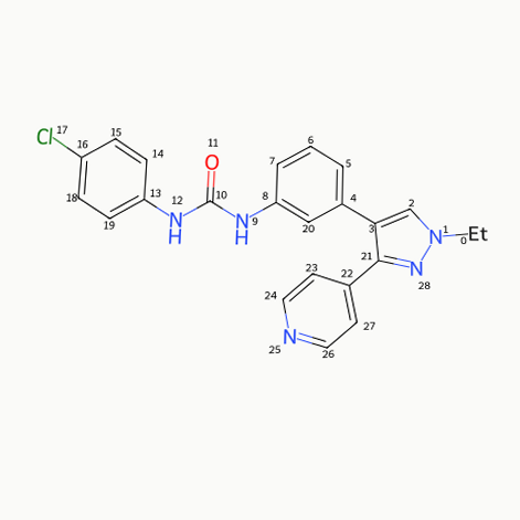 CCn1cc(-c2cccc(NC(=O)Nc3ccc(Cl)cc3)c2)c(-c2ccncc2)n1